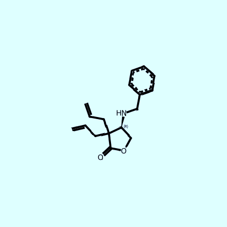 C=CCC1(CC=C)C(=O)OC[C@@H]1NCc1ccccc1